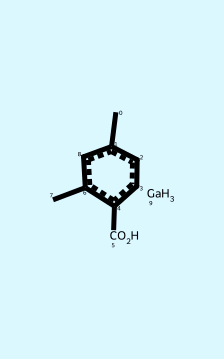 Cc1ccc(C(=O)O)c(C)c1.[GaH3]